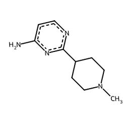 CN1CCC(c2nccc(N)n2)CC1